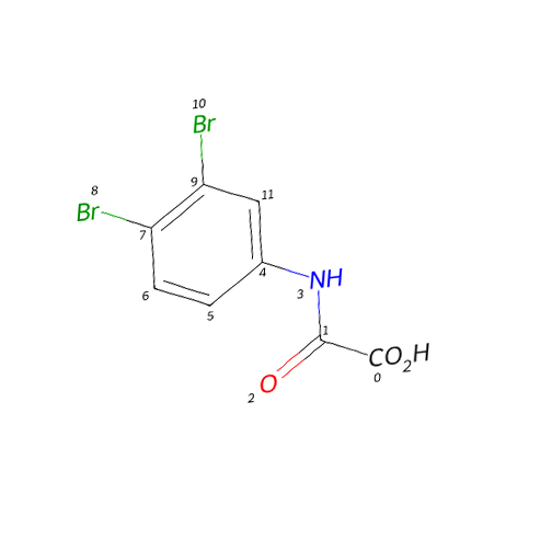 O=C(O)C(=O)Nc1ccc(Br)c(Br)c1